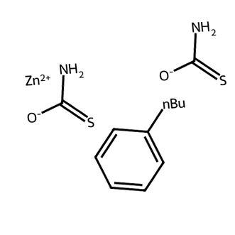 CCCCc1ccccc1.NC([O-])=S.NC([O-])=S.[Zn+2]